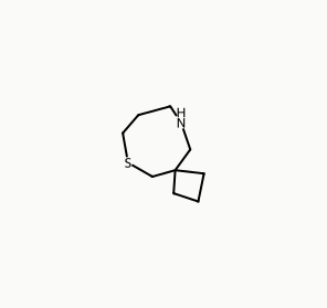 C1CNCC2(CCC2)CSC1